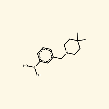 CC1(C)CCN(Cc2cccc(B(O)O)c2)CC1